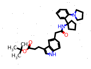 CC(C)(C)OC(=O)CCc1c[nH]c2ccc(CC(=O)NC3(c4ccccc4N4CCCC4)CCCC3)cc12